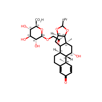 CCCC1O[C@@H]2CC3[C@@H]4CCC5=CC(=O)C=C[C@]5(C)[C@H]4[C@@H](O)C[C@]3(C)[C@]2(C(=O)CO[C@@H]2O[C@H](C(=O)O)[C@@H](O)[C@H](O)[C@H]2O)O1